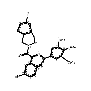 COc1cc(-c2nc(C(=O)N3CCc4cc(F)ccc4C3)c3cc(F)ccc3n2)cc(OC)c1OC